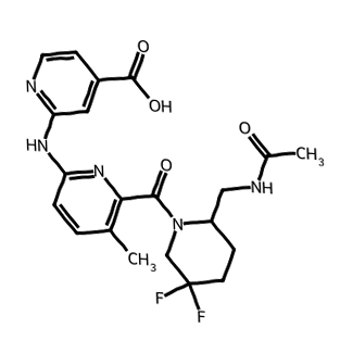 CC(=O)NCC1CCC(F)(F)CN1C(=O)c1nc(Nc2cc(C(=O)O)ccn2)ccc1C